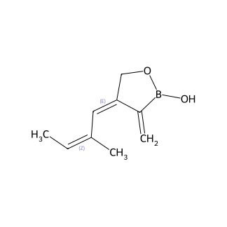 C=C1B(O)OC/C1=C/C(C)=C\C